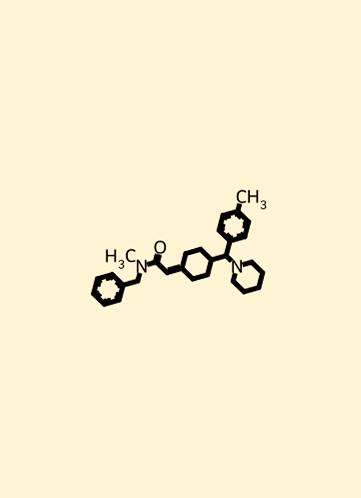 Cc1ccc(C(C2CCC(=CC(=O)N(C)Cc3ccccc3)CC2)N2CCCCC2)cc1